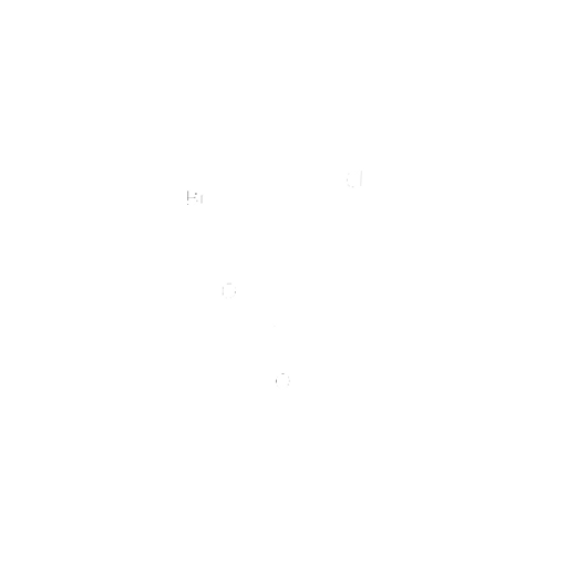 CC1=C(Cl)C(Br)OC1=O